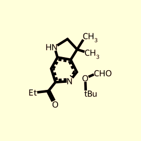 CC(C)(C)OC=O.CCC(=O)c1cc2c(cn1)C(C)(C)CN2